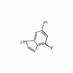 CC(C)c1cc(F)c2cc[nH]c2c1